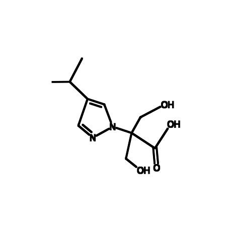 CC(C)c1cnn(C(CO)(CO)C(=O)O)c1